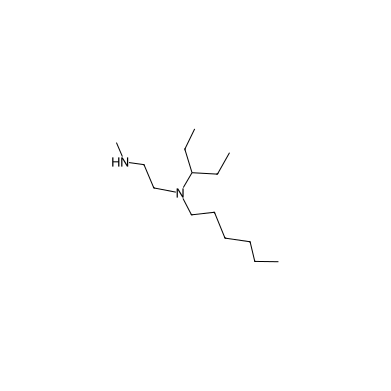 CCCCCCN(CCNC)C(CC)CC